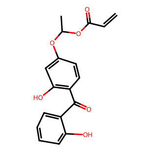 C=CC(=O)OC(C)Oc1ccc(C(=O)c2ccccc2O)c(O)c1